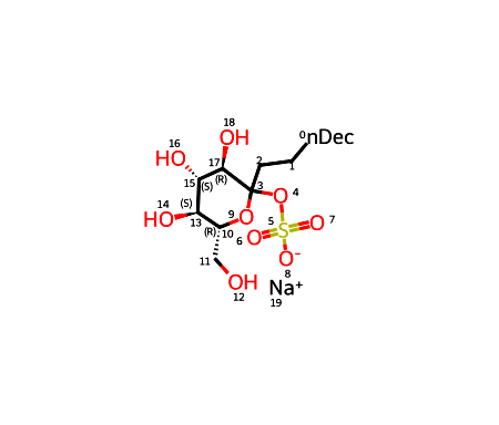 CCCCCCCCCCCCC1(OS(=O)(=O)[O-])O[C@H](CO)[C@@H](O)[C@H](O)[C@H]1O.[Na+]